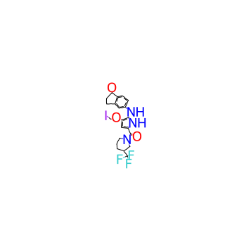 O=C1CCc2cc(Nc3[nH]c(C(=O)N4CCCC(C(F)(F)F)C4)cc3OCI)ccc21